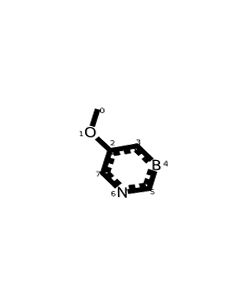 COc1cbcnc1